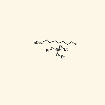 CCCCCCCCCCCCCCCCCF.CCO[SiH](OCC)OCC